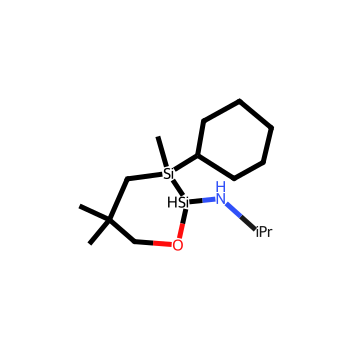 CC(C)N[SiH]1OCC(C)(C)C[Si]1(C)C1CCCCC1